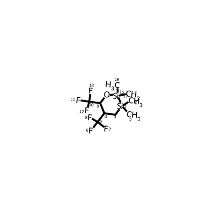 C[Si]1(C)CC(C(F)(F)F)C(C(F)(F)F)O[Si]1(C)C